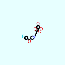 COc1cc(OC)c2c(=O)c(CCCN3CCC(C(=O)c4ccc(F)cc4)CC3)coc2c1